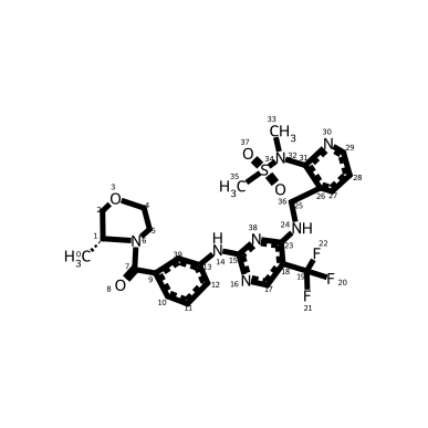 C[C@@H]1COCCN1C(=O)c1cccc(Nc2ncc(C(F)(F)F)c(NCc3cccnc3N(C)S(C)(=O)=O)n2)c1